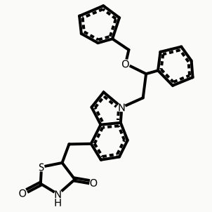 O=C1NC(=O)C(Cc2cccc3c2ccn3CC(OCc2ccccc2)c2ccccc2)S1